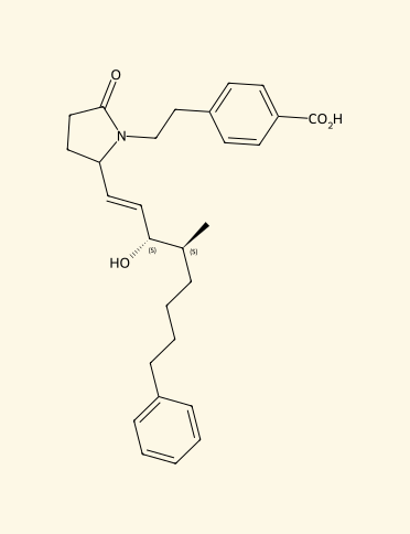 C[C@@H](CCCCc1ccccc1)[C@H](O)C=CC1CCC(=O)N1CCc1ccc(C(=O)O)cc1